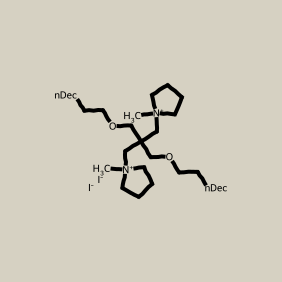 CCCCCCCCCCCCOCC(COCCCCCCCCCCCC)(C[N+]1(C)CCCC1)C[N+]1(C)CCCC1.[I-].[I-]